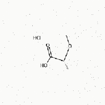 CO[C@H](C)C(=O)O.Cl